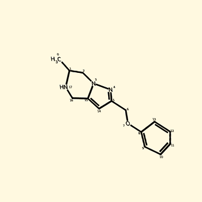 CC1Cn2nc(COc3ccccc3)cc2CN1